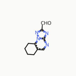 O=Cc1nc2ncc3c(n2n1)CCCC3